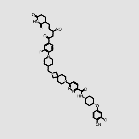 N#Cc1ccc(O[C@H]2CC[C@H](NC(=O)c3ccc(N4CCC5(CC4)CN(CC4CCN(c6ccc(C(=O)CC(CCC7CCC(=O)NC7=O)N=O)cc6F)CC4)C5)nn3)CC2)cc1Cl